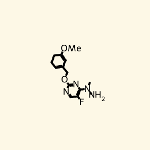 COC1=CC(COc2ncc(F)c(N(C)N)n2)=CCC1